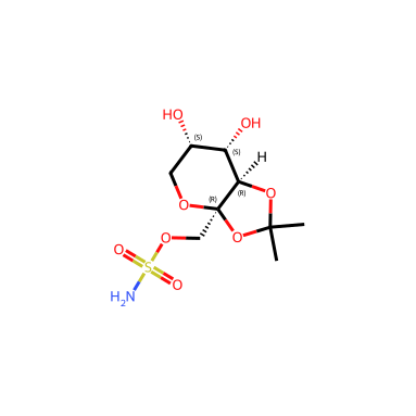 CC1(C)O[C@@H]2[C@@H](O)[C@@H](O)CO[C@]2(COS(N)(=O)=O)O1